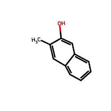 Cc1cc2ccccc2cc1O